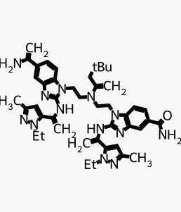 C=C(N)c1ccc2c(c1)nc(NC(=C)c1cc(C)nn1CC)n2CCN(CCn1c(NC(=C)c2cc(C)nn2CC)nc2cc(C(N)=O)ccc21)C(=C)CC(C)(C)C